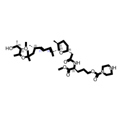 COC(=O)[C@H](CCCOC(=O)N1CCNCC1)NC(=O)C[C@H]1CC[C@H](C)[C@@H](/C(C)=C/C=C/[C@@H](C)CC(C)(C)OC(C)[C@@H](OC)[C@@H](C)O)O1